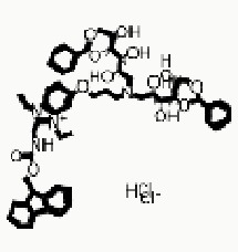 CCn1c(CNC(=O)OCC2c3ccccc3-c3ccccc32)[n+](CC)c2cc(OCCCN(C[C@H](O)[C@@H](O)[C@@H]3OC(c4ccccc4)OC[C@H]3O)C[C@H](O)[C@@H](O)[C@@H]3OC(c4ccccc4)OC[C@H]3O)ccc21.Cl.[Cl-]